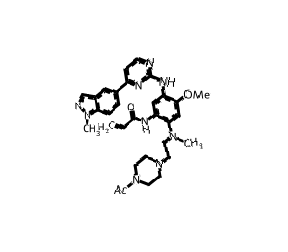 C=CC(=O)Nc1cc(Nc2nccc(-c3ccc4c(cnn4C)c3)n2)c(OC)cc1N(C)CCN1CCN(C(C)=O)CC1